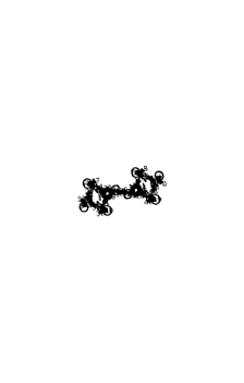 CC(=O)N1CCN(C(C)=O)Cc2cc(OCCOc3cc4nc(c3)CN(C(C)=O)CCN(C(C)=O)CCN(C(C)=O)C4)cc(n2)CN(C(C)=O)CC1